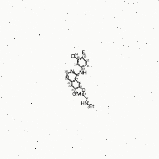 CCNCCOc1cc2c(Nc3ccc(F)c(Cl)c3)ncnc2cc1OC